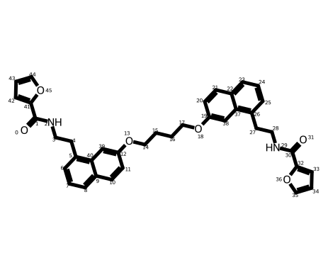 O=C(NCCc1cccc2ccc(OCCCCOc3ccc4cccc(CCNC(=O)c5ccco5)c4c3)cc12)c1ccco1